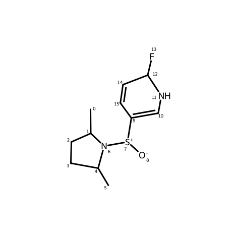 CC1CCC(C)N1[S+]([O-])C1=CNC(F)C=C1